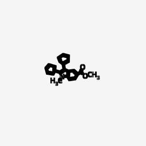 COC(=O)c1ccc2c(c1)c(-c1ccccc1)c(-c1ccccc1)n2C